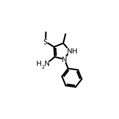 CSC1=C(N)N(c2ccccc2)NC1C